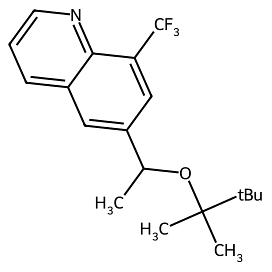 CC(OC(C)(C)C(C)(C)C)c1cc(C(F)(F)F)c2ncccc2c1